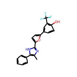 Cc1nc(-c2ccc(-c3ccc(O)c(C(F)(F)F)c3)o2)[nH]c1-c1ccccc1